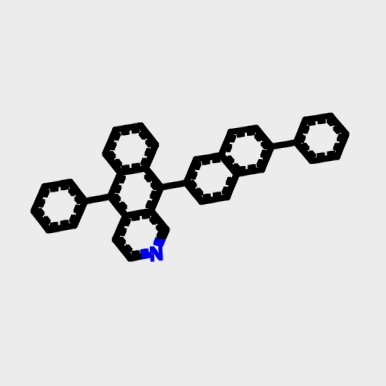 c1ccc(-c2ccc3cc(-c4c5ccccc5c(-c5ccccc5)c5ccncc45)ccc3c2)cc1